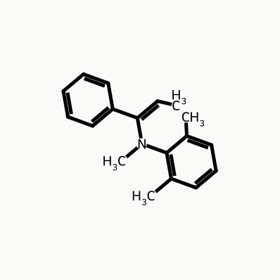 C/C=C(/c1ccccc1)N(C)c1c(C)cccc1C